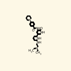 CCN(CC)CCNC1C=CC=C(c2c[nH]c(=O)c(NC(=O)c3ccc(N4CCCCC4)cc3)c2)N1